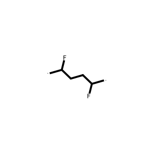 [CH2]C(F)CCC([CH2])F